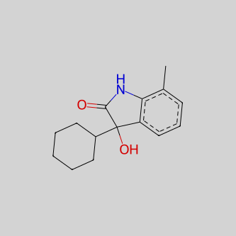 Cc1cccc2c1NC(=O)C2(O)C1CCCCC1